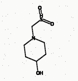 O=[SH](=O)CN1CCC(O)CC1